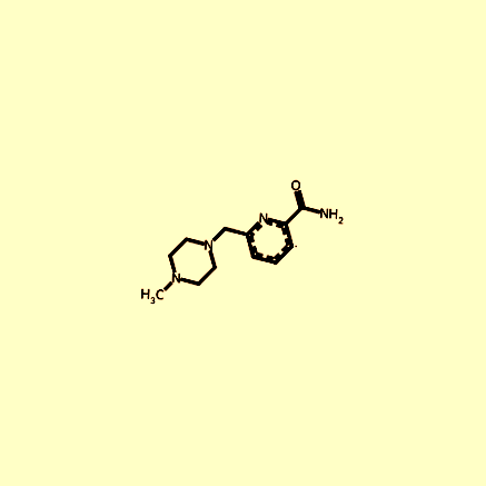 CN1CCN(Cc2cc[c]c(C(N)=O)n2)CC1